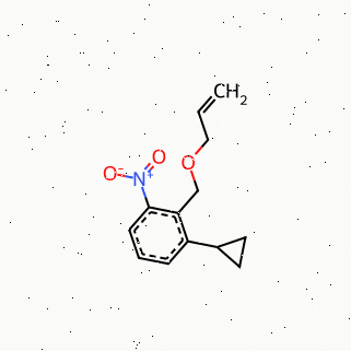 C=CCOCc1c(C2CC2)cccc1[N+](=O)[O-]